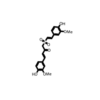 COc1cc(C=CS(=O)(=O)CC(=O)/C=C/c2ccc(O)c(OC)c2)ccc1O